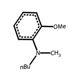 [CH2]CCCN(C)c1ccccc1OC